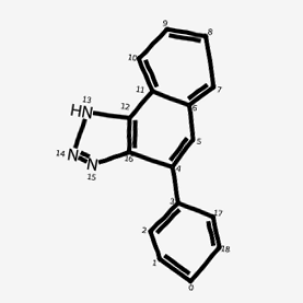 c1ccc(-c2cc3ccccc3c3[nH]nnc23)cc1